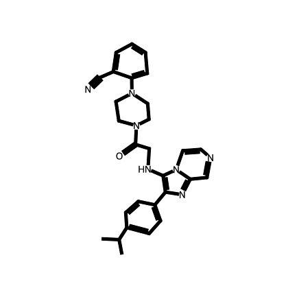 CC(C)c1ccc(-c2nc3cnccn3c2NCC(=O)N2CCN(c3ccccc3C#N)CC2)cc1